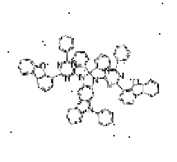 c1ccc(-c2nc(-c3cccc4c3oc3ccccc34)nc(N3c4cc5c6ccccc6n(-c6ccccc6)c5cc4N(c4nc(-c5ccccc5)nc(-c5cccc6c5oc5ccccc56)n4)C3(c3ccccc3)c3ccccc3)n2)cc1